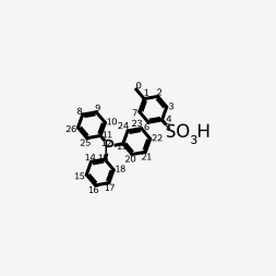 Cc1ccc(S(=O)(=O)O)cc1.c1ccc(P(c2ccccc2)c2ccccc2)cc1